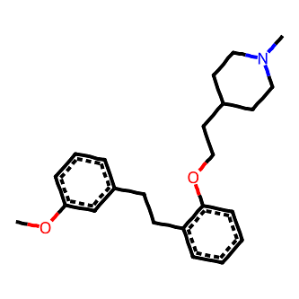 COc1cccc(CCc2ccccc2OCCC2CCN(C)CC2)c1